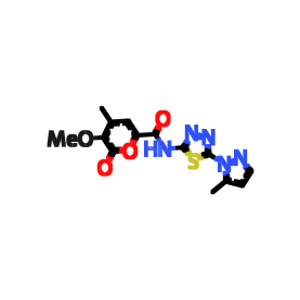 COc1c(C)cc(C(=O)Nc2nnc(-n3nccc3C)s2)oc1=O